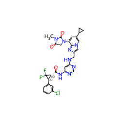 CN1C(=O)CN(c2cc(C3CC3)cn3cc(CNc4cc(NC(=O)[C@@H]5[C@@H](c6cccc(Cl)c6)C5(F)F)ncn4)nc23)C1=O